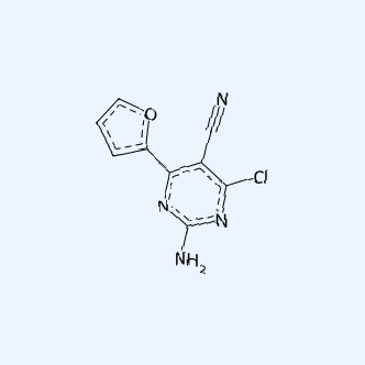 N#Cc1c(Cl)nc(N)nc1-c1ccco1